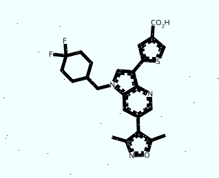 Cc1noc(C)c1-c1cnc2c(-c3cc(C(=O)O)cs3)cn(CC3CCC(F)(F)CC3)c2c1